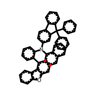 c1ccc(C2(c3ccccc3)c3ccccc3-c3ccc(N(c4ccccc4-c4cccc5oc6ccccc6c45)c4cccc5ccccc45)cc32)cc1